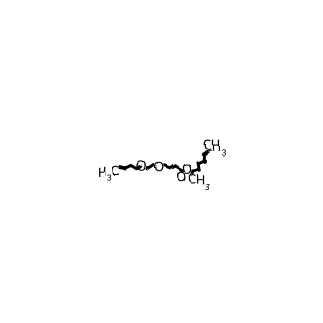 CCCCCCC(C)OC(=O)CCCOCCOCCCCC